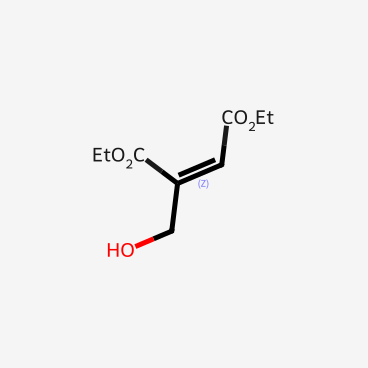 CCOC(=O)/C=C(/CO)C(=O)OCC